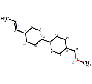 C/C=C/[C@H]1CC[C@H]([C@H]2CC[C@H](COC)CC2)CC1